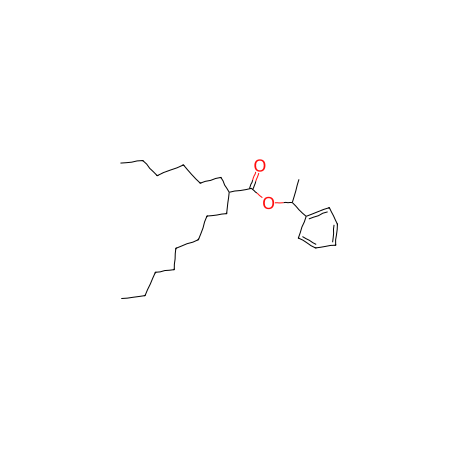 CCCCCCCCC(CCCCCC)C(=O)OC(C)c1ccccc1